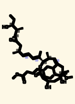 CC[C@H](O)[C@@H](C)[C@H]1OC1C[C@H](C)/C=C/C=C(\C)[C@H]1OC(=O)CC(O)CC[C@@](C)(OC)C/C(C2CN(CCCC(=O)OC)CCN2C(=O)O)=C/[C@@H]1C